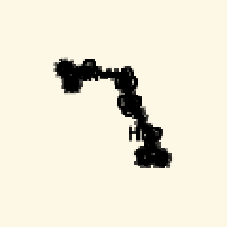 O=C(CCCCCNC(=O)OCC1c2ccccc2-c2ccccc21)OC(=O)CCC(=O)OC(=O)CCCCCNC(=O)OCC1c2ccccc2-c2ccccc21